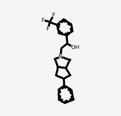 OC(CN1CC2CC(c3ccccc3)CC2C1)c1cccc(C(F)(F)F)c1